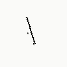 CCCCCCCCCCCCCCCCCCCCCCCC[P+](C)(C)C.[Cl-]